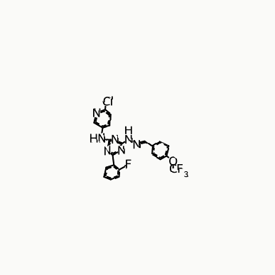 Fc1ccccc1-c1nc(NN=Cc2ccc(OC(F)(F)F)cc2)nc(Nc2ccc(Cl)nc2)n1